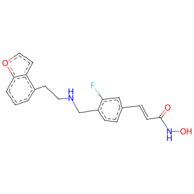 O=C(/C=C/c1ccc(CNCCc2cccc3occc23)c(F)c1)NO